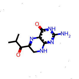 CC(C)C(=O)C1=Nc2c(nc(N)[nH]c2=O)NC1